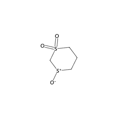 O=S1(=O)CCC[S+]([O-])C1